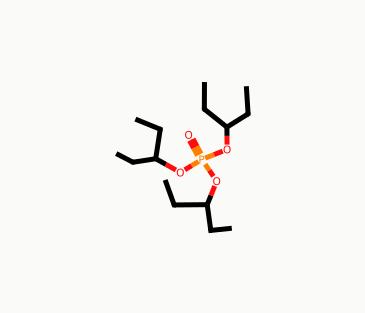 CCC(CC)OP(=O)(OC(CC)CC)OC(CC)CC